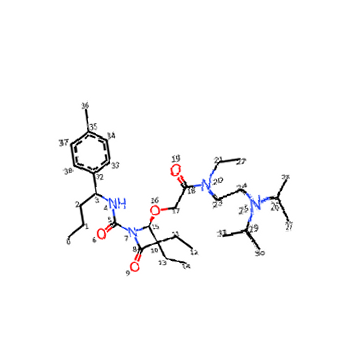 CCCC(NC(=O)N1C(=O)C(CC)(CC)[C@@H]1OCC(=O)N(CC)CCN(C(C)C)C(C)C)c1ccc(C)cc1